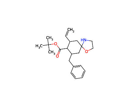 C=CC1CC2(CC(Cc3ccccc3)C1C(=O)OC(C)(C)C)NCCO2